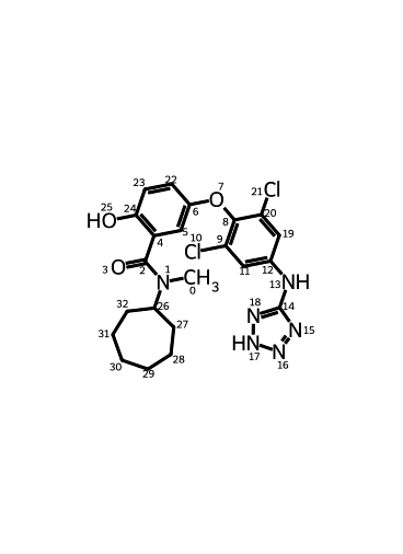 CN(C(=O)c1cc(Oc2c(Cl)cc(Nc3nn[nH]n3)cc2Cl)ccc1O)C1CCCCCC1